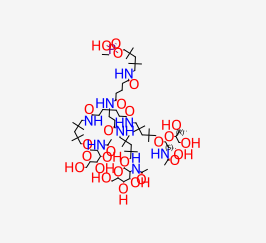 CCP(=O)(O)OCC(C)(C)CC(C)(C)CNC(=O)CCCC(=O)NC(CCC(=O)NCC(C)(C)CC(C)(C)COC1OC(CO)C(O)C(O)C1NC(C)=O)(CCC(=O)NCC(C)(C)CC(C)(C)COC1OC(CO)C(O)C(O)C1NC(C)=O)CCC(=O)NCC(C)(C)CC(C)(C)COC(OC(CO)[C@@H](C)O)[C@H](CO)NC(C)=O